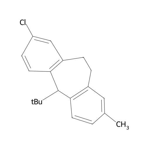 Cc1ccc2c(c1)CCc1cc(Cl)ccc1C2C(C)(C)C